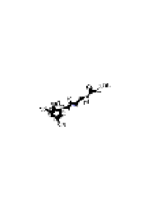 CC(C)(C)OC(=O)NC/C=C(\F)Cn1nnc2c(Br)cc(C#N)cc21